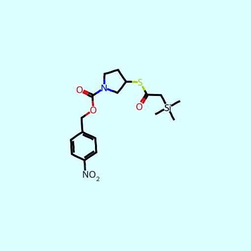 C[Si](C)(C)CC(=O)SC1CCN(C(=O)OCc2ccc([N+](=O)[O-])cc2)C1